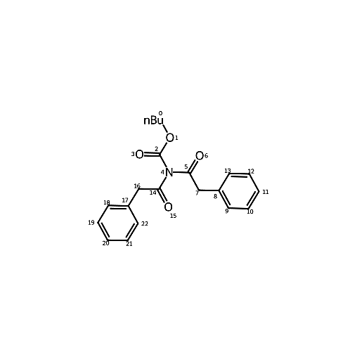 CCCCOC(=O)N(C(=O)Cc1ccccc1)C(=O)Cc1ccccc1